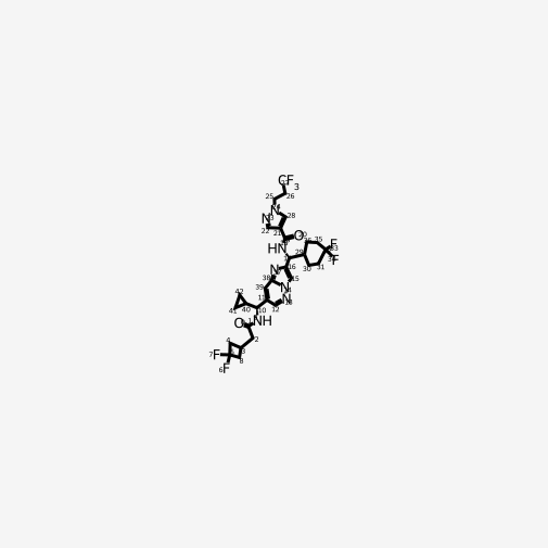 O=C(CC1CC(F)(F)C1)N[C@H](c1cnn2cc([C@@H](NC(=O)c3cnn(CCC(F)(F)F)c3)C3CCC(F)(F)CC3)nc2c1)C1CC1